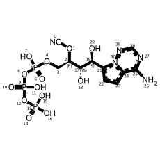 N#CO[C@H](COP(=O)(O)OP(=O)(O)OP(=O)(O)O)[C@@H](O)[C@@H](O)c1ccc2c(N)ncnn12